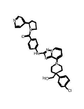 O=C(c1ccc(Nc2nc3c(N4CCC(CO)(c5ccc(Cl)cc5)CC4)cccn3n2)cc1)N1CCCC1c1ccncc1